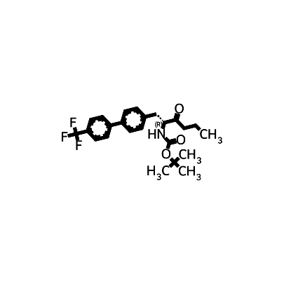 CCCC(=O)[C@@H](Cc1ccc(-c2ccc(C(F)(F)F)cc2)cc1)NC(=O)OC(C)(C)C